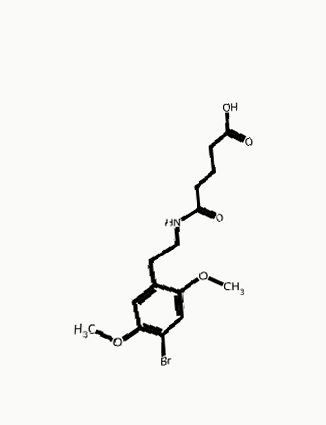 COc1cc(CCNC(=O)CCCC(=O)O)c(OC)cc1Br